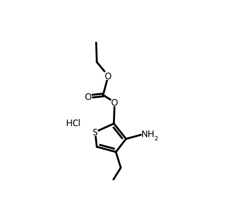 CCOC(=O)Oc1scc(CC)c1N.Cl